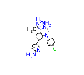 C/C(N)=C1\c2ccc(-c3ccc(N)nc3)cc2N(c2ccc(Cl)cc2)CCN1N